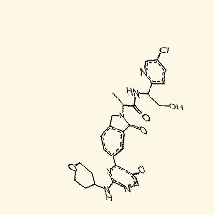 CC(C(=O)NC(CO)c1ccc(Cl)cn1)N1Cc2ccc(-c3nc(NC4CCOCC4)ncc3Cl)cc2C1=O